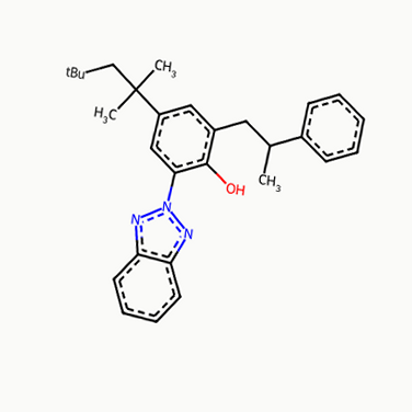 CC(Cc1cc(C(C)(C)CC(C)(C)C)cc(-n2nc3ccccc3n2)c1O)c1ccccc1